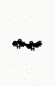 Cc1ccc(CNC(=O)c2cn(CCCCn3cc(C(=O)NCc4cccc(OC(F)(F)F)c4)nn3)nn2)cn1